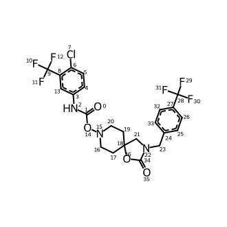 O=C(Nc1ccc(Cl)c(C(F)(F)F)c1)ON1CCC2(CC1)CN(Cc1ccc(C(F)(F)F)cc1)C(=O)O2